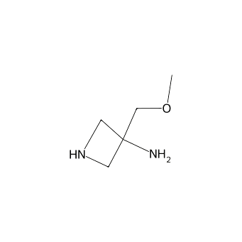 COCC1(N)CNC1